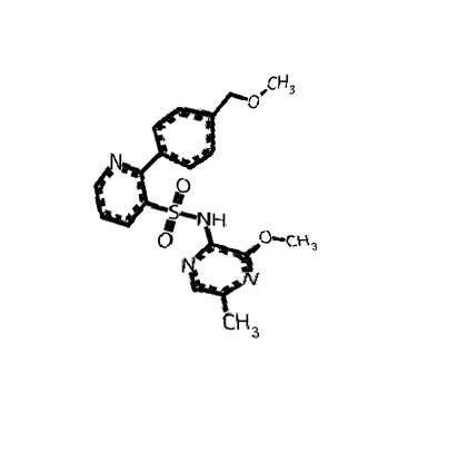 COCc1ccc(-c2ncccc2S(=O)(=O)Nc2ncc(C)nc2OC)cc1